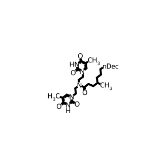 CCCCCCCCCCCCCC(C)CCC(=O)N(CCn1cc(C)c(=O)[nH]c1=O)CCn1cc(C)c(=O)[nH]c1=O